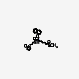 COC(=O)CCCC/C=C(\COc1cccc2ccccc12)C(=O)NCCCN1CCCC1=O